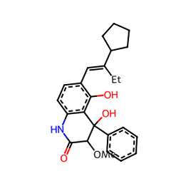 CCC(=Cc1ccc2c(c1O)C(O)(c1ccccc1)C(OC)C(=O)N2)C1CCCC1